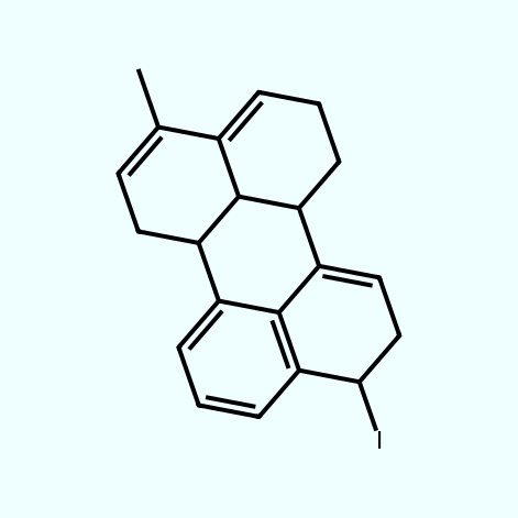 CC1=CCC2c3cccc4c3C(=CCC4I)C3CCC=C1C32